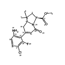 COC(=O)[C@@H]1CC(C)(C)C2CC(c3c(N)ccc(Cl)c3F)=CC(=O)N21